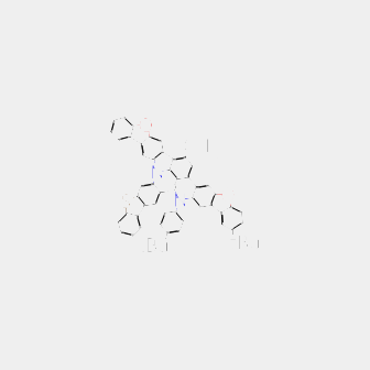 Cc1cc2c3c4c1c1cc5oc6ccccc6c5cc1n4-c1cc4sc5ccccc5c4cc1B3N(c1ccc(C(C)(C)C)cc1)c1cc3c(cc1-2)oc1ccc(C(C)(C)C)cc13